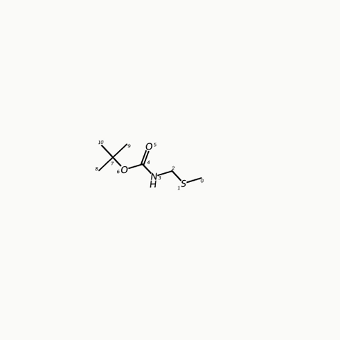 CSCNC(=O)OC(C)(C)C